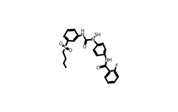 CCCCS(=O)(=O)c1cccc(NC(=O)N(S)c2ccc(NC(=O)c3ccccc3F)cc2)c1